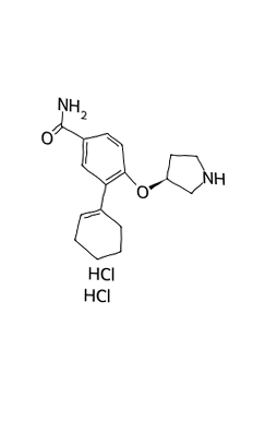 Cl.Cl.NC(=O)c1ccc(O[C@H]2CCNC2)c(C2=CCCCC2)c1